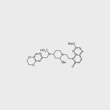 COc1cnc2ccc(=O)n(CCN3CCC(N(Cc4cc5c(cn4)OCCO5)C(=O)O)CC3C(C)(C)C)c2n1